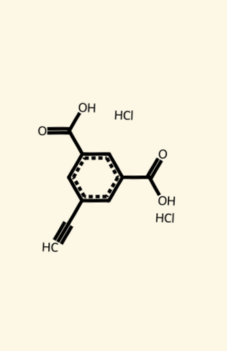 C#Cc1cc(C(=O)O)cc(C(=O)O)c1.Cl.Cl